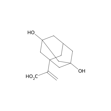 C=C(C(=O)O)C12CC3CC(O)(CC(O)(C3)C1)C2